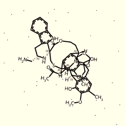 COc1c(C)cc2c(c1O)[C@H]1[C@@H]3[C@@H]4SC[C@]5(N[C@H](CN)Cc6c5[nH]c5ccccc65)C(=O)OCC[C@@H](c5c6c(c(C)c(OC(C)=O)c54)OCO6)N3C(O)(C2)CN1C